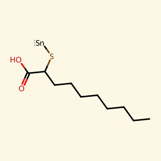 CCCCCCCCC([S][Sn])C(=O)O